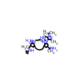 C=C(N)c1cc2c3c(c1)nc(NC(=C)c1cc(C)nn1CC)n3C/C=C/CNc1c(N)cc(C(=C)NC3CCC3)cc1CCCCC2